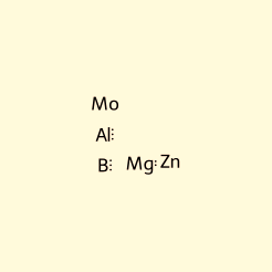 [Al].[B].[Mg].[Mo].[Zn]